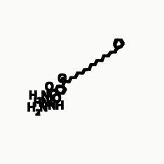 N=C(NN)c1oc2ccc(C(=O)CCCCCCCCCCCCCCCc3ccccc3)cc2c(=O)c1N